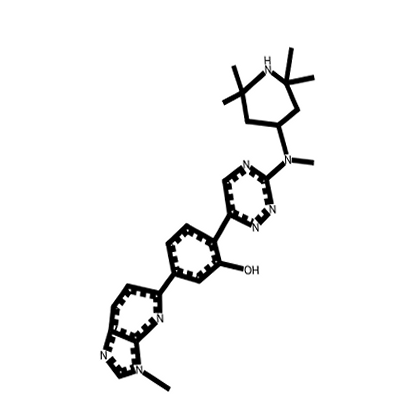 CN(c1ncc(-c2ccc(-c3ccc4ncn(C)c4n3)cc2O)nn1)C1CC(C)(C)NC(C)(C)C1